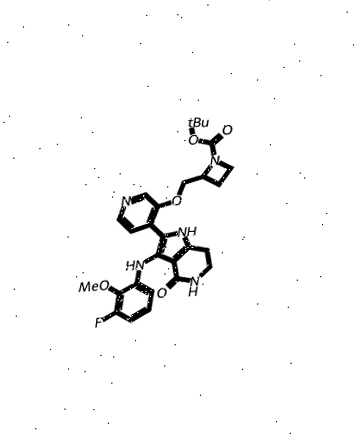 COc1c(F)cccc1Nc1c(-c2ccncc2OCC2CCN2C(=O)OC(C)(C)C)[nH]c2c1C(=O)NCC2